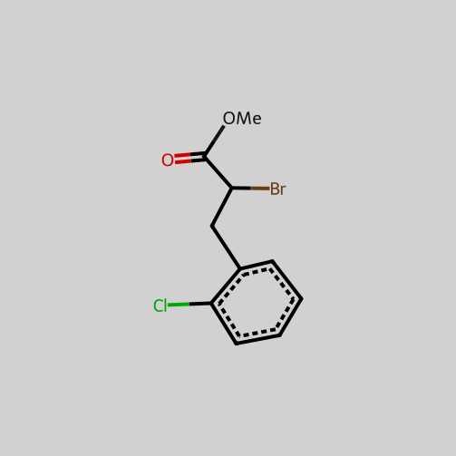 COC(=O)C(Br)Cc1ccccc1Cl